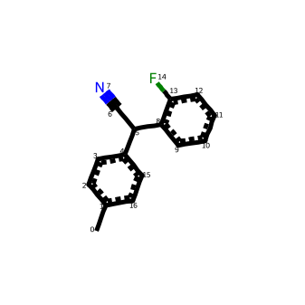 Cc1ccc(C(C#N)c2ccccc2F)cc1